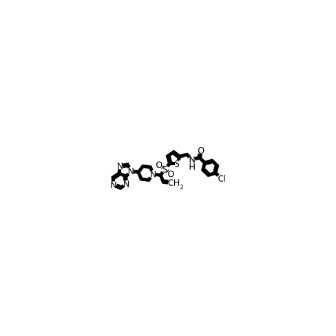 C=CC(N1CCC(n2cnc3cncnc32)CC1)S(=O)(=O)c1ccc(CNC(=O)c2ccc(Cl)cc2)s1